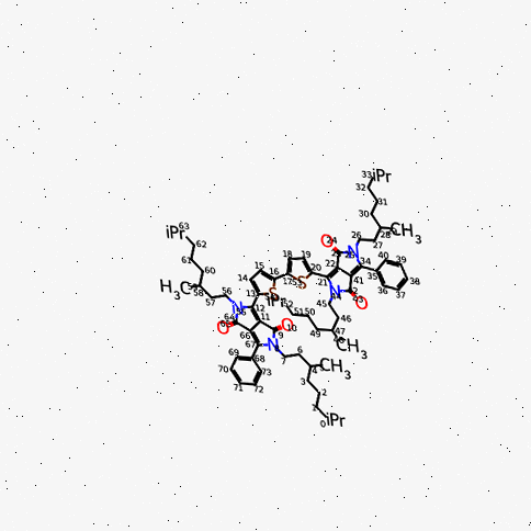 CC(C)CCCC(C)CCN1C(=O)C2=C(c3ccc(-c4ccc(C5=C6C(=O)N(CCC(C)CCCC(C)C)C(c7ccccc7)=C6C(=O)N5CCC(C)CCCC(C)C)s4)s3)N(CCC(C)CCCC(C)C)C(=O)C2=C1c1ccccc1